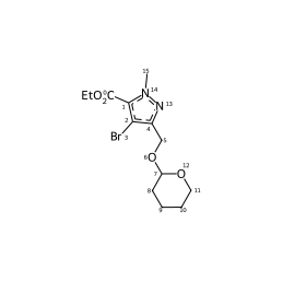 CCOC(=O)c1c(Br)c(COC2CCCCO2)nn1C